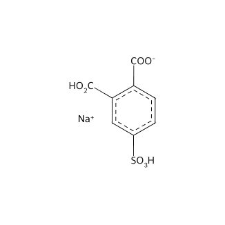 O=C([O-])c1ccc(S(=O)(=O)O)cc1C(=O)O.[Na+]